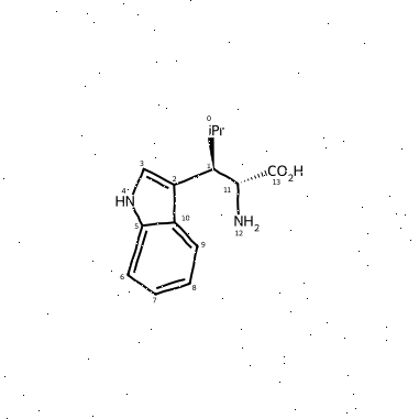 CC(C)[C@H](c1c[nH]c2ccccc12)[C@@H](N)C(=O)O